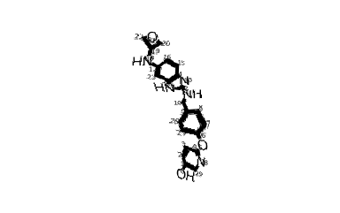 Oc1ccc(Oc2ccc(CNc3nc4ccc(NC5COC5)cc4[nH]3)cc2)nc1